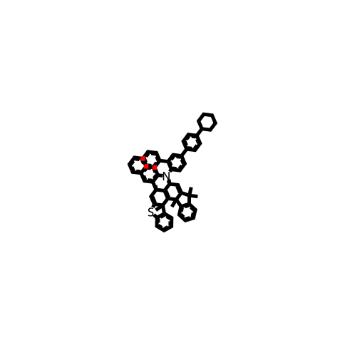 CC1(C)C2=CC3(C)C4=C(C5(C)C(=CC4(C)c4cc6ccccc6cc4N3c3ccc(-c4ccc(C6CCCCC6)cc4)cc3-c3ccccc3)Sc3ccccc35)C2(C)c2ccccc21